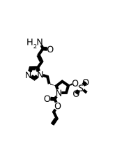 C=CCOC(=O)N1C[C@H](OS(C)(=O)=O)C[C@H]1CCn1cncc1/C=C/C(N)=O